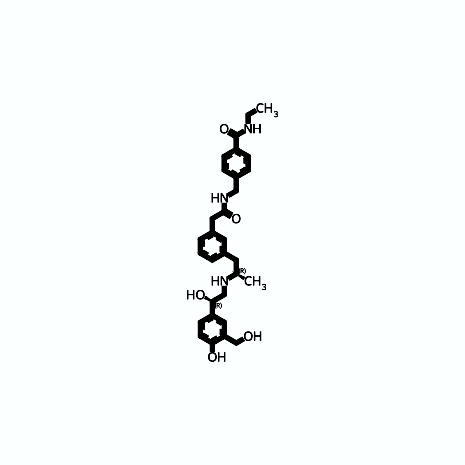 CCNC(=O)c1ccc(CNC(=O)Cc2cccc(C[C@@H](C)NC[C@H](O)c3ccc(O)c(CO)c3)c2)cc1